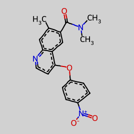 Cc1cc2nccc(Oc3ccc([N+](=O)[O-])cc3)c2cc1C(=O)N(C)C